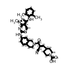 Cc1cccc(C)c1Nc1nn(C)c2nc(Nc3ccc4c(c3)CN(C(=O)C(C#N)=CC3CCN(C(=O)O)CC3)CC4)ncc12